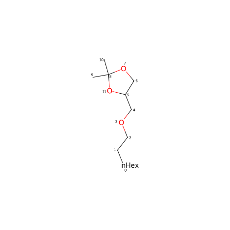 CCCCCCCCOCC1COC(C)(C)O1